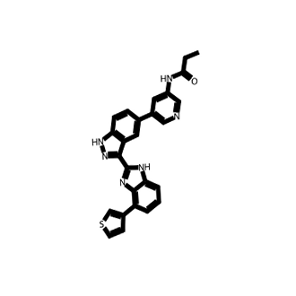 CCC(=O)Nc1cncc(-c2ccc3[nH]nc(-c4nc5c(-c6ccsc6)cccc5[nH]4)c3c2)c1